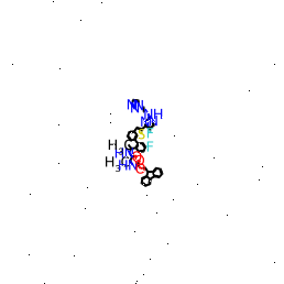 CC(NC(=O)OCC1c2ccccc2-c2ccccc21)C(=O)NC(C)c1ccc(F)cc1-c1cccc2cc(-c3nc(NCCn4ccnn4)ncc3F)sc12